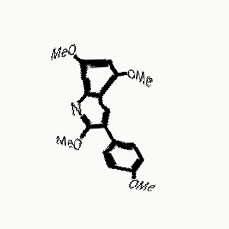 COc1ccc(-c2cc3c(OC)cc(OC)cc3nc2OC)cc1